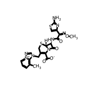 CO/N=C(\C(=O)N[C@@H]1C(=O)N2C(C(=O)[O-])=C(Cn3cn[n+]4cccc(C)c34)CS[C@H]12)c1csc(N)n1